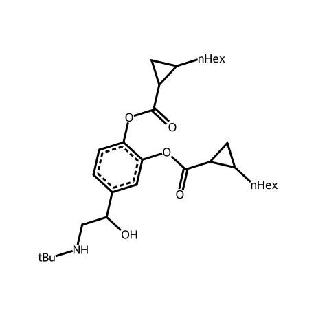 CCCCCCC1CC1C(=O)Oc1ccc(C(O)CNC(C)(C)C)cc1OC(=O)C1CC1CCCCCC